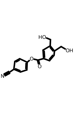 N#Cc1ccc(OC(=O)c2ccc(CO)c(CO)c2)cc1